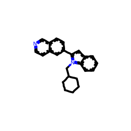 c1ccc2c(c1)cc(-c1ccc3cnccc3c1)n2CC1CCCCC1